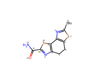 CC(C)(C)c1nc2c(s1)CCc1nc(C(N)=O)sc1-2